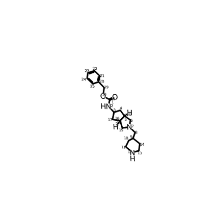 O=C(NC1C[C@@H]2CN(CC3CCNCC3)C[C@@H]2C1)OCc1ccccc1